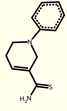 NC(=S)C1=CCCN(c2ccccc2)C1